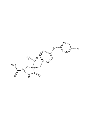 NC(=O)[N+]1(Cc2ccc(Oc3ccc(Cl)cc3)cc2)C[C@H](C(=O)O)NC1=O